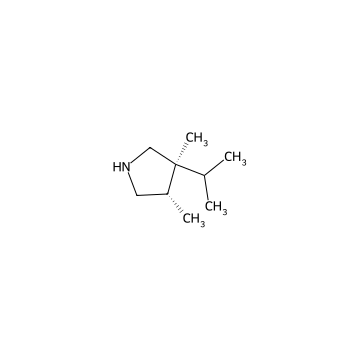 CC(C)[C@]1(C)CNC[C@H]1C